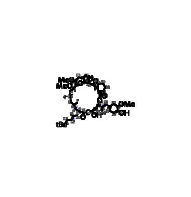 CO[C@H]1C[C@@H](C)C/C(C)=C/[C@@H](C/C=C/CC(C)(C)C)C(=O)C[C@H](O)[C@@H](C)[C@@H](/C(C)=C/[C@@H]2CC[C@@H](O)[C@H](OC)C2)OC(=O)[C@@H]2CCCCN2C(=O)C(=O)[C@]2(O)O[C@H]1[C@@H](OC)C[C@H]2C